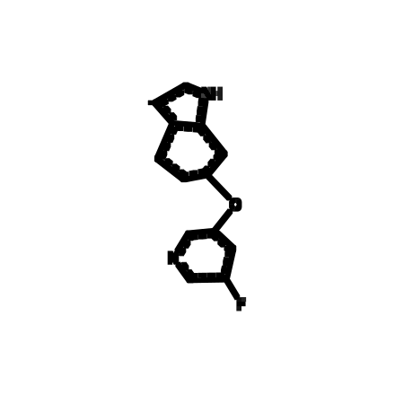 Fc1cncc(Oc2ccc3[c]c[nH]c3c2)c1